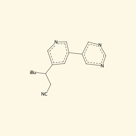 CCC(C)C(CC#N)c1cncc(-c2cncnc2)c1